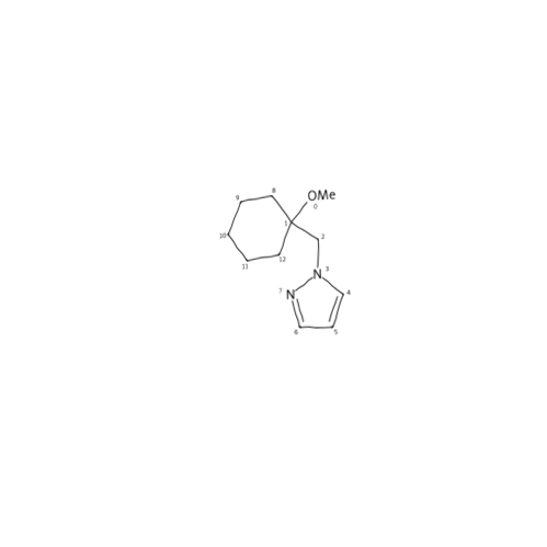 COC1(Cn2cccn2)CCCCC1